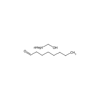 CCCCCCCC=O.CCCCCCCCO